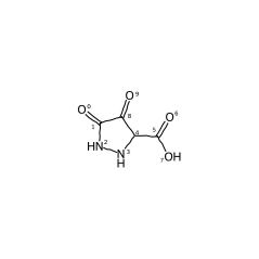 O=C1NNC(C(=O)O)C1=O